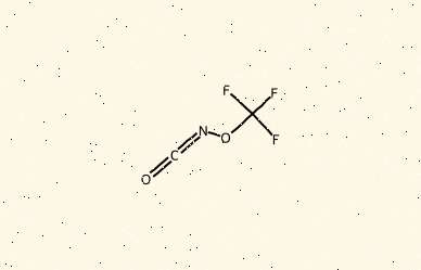 O=C=NOC(F)(F)F